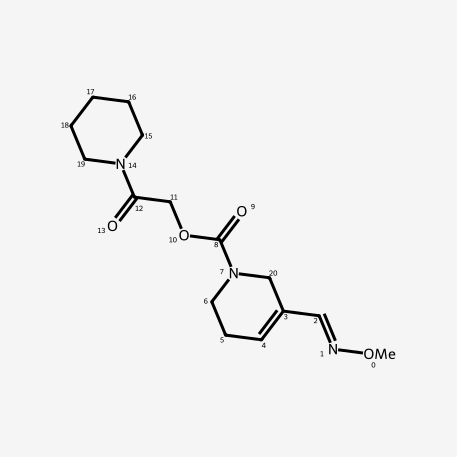 CON=CC1=CCCN(C(=O)OCC(=O)N2CCCCC2)C1